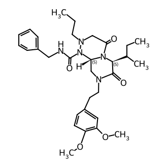 CCCN1CC(=O)N2[C@@H](C(C)CC)C(=O)N(CCc3ccc(OC)c(OC)c3)C[C@@H]2N1C(=O)NCc1ccccc1